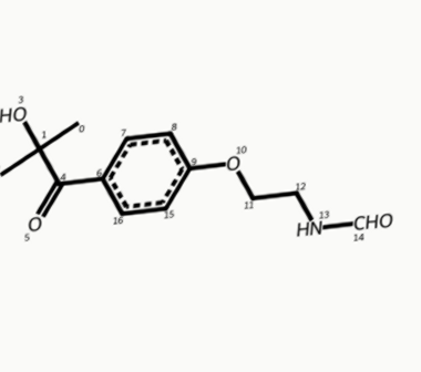 CC(C)(O)C(=O)c1ccc(OCCNC=O)cc1